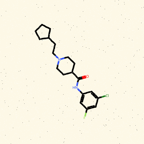 O=C(Nc1cc(F)cc(Cl)c1)C1CCN(CCC2CCCC2)CC1